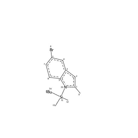 Cc1cc2cc(Br)ccc2n1[Si](C)(C)C(C)(C)C